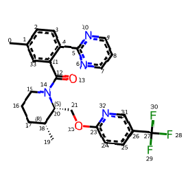 Cc1ccc(-c2ncccn2)c(C(=O)N2CCC[C@@H](C)[C@H]2COc2ccc(C(F)(F)F)cn2)c1